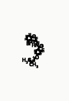 CN(C)CCOc1ccc(C(=O)NCC2COc3cccc(Br)c3O2)c(F)c1